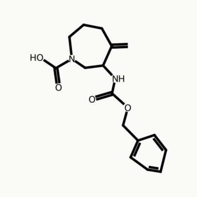 C=C1CCCN(C(=O)O)CC1NC(=O)OCc1ccccc1